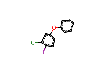 Clc1cc(Oc2ccccc2)ccc1I